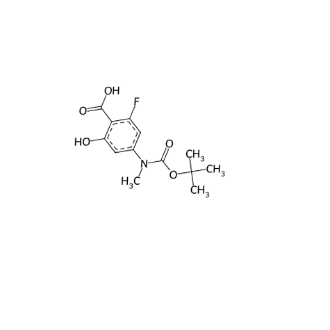 CN(C(=O)OC(C)(C)C)c1cc(O)c(C(=O)O)c(F)c1